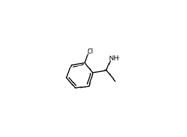 CC([NH])c1ccccc1Cl